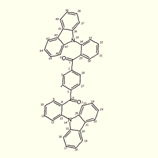 O=C(c1ccc(C(=O)c2ccccc2-n2c3ccccc3c3ccccc32)cc1)c1ccccc1-n1c2ccccc2c2ccccc21